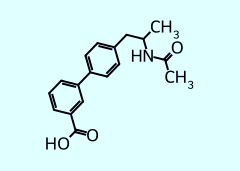 CC(=O)NC(C)Cc1ccc(-c2cccc(C(=O)O)c2)cc1